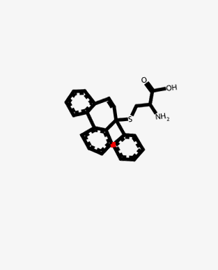 NC(CSC1(c2ccccc2)C=Cc2ccccc2-c2ccccc21)C(=O)O